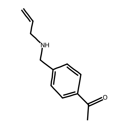 C=CCNCc1ccc(C(C)=O)cc1